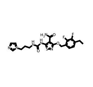 CCc1ccc(COc2nsc(NC(=O)NCCCn3ccnc3)c2C(N)=O)c(F)c1F